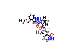 COc1cccc2[nH]c(C(=O)N3C[C@@H]4C[C@@H]4C3C(=O)N[C@H](C)C[C@@H]3CCCNC3=O)cc12